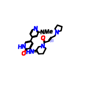 CNc1cc(-c2c[nH]c(=O)c(N[C@@H]3CCCN(C(=O)/C=C/CN4CCCC4)C3)c2)ccn1